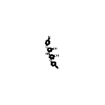 N#Cc1ccc(Oc2cc(O)cc(Nc3cc(O)cc(Oc4ccc(C#N)cc4)c3)c2)cc1